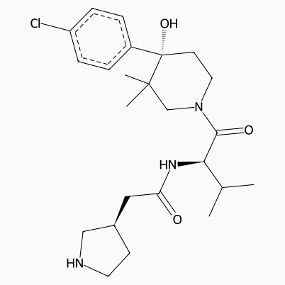 CC(C)[C@@H](NC(=O)C[C@H]1CCNC1)C(=O)N1CC[C@](O)(c2ccc(Cl)cc2)C(C)(C)C1